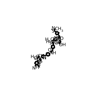 Cc1ncsc1-c1ccc(CNC(=O)[C@@H]2C[C@@H](O)CN2C(=O)[C@@H](NC(=O)c2ccc(CC(=O)Nc3ccc(-c4ccc(N5C(=S)N(c6ccc(C#N)c(C(F)(F)F)c6F)C(=O)C5(C)C)cn4)cc3)cc2)C(C)(C)C)cc1